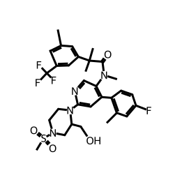 Cc1cc(C(F)(F)F)cc(C(C)(C)C(=O)N(C)c2cnc(N3CCN(S(C)(=O)=O)CC3CO)cc2-c2ccc(F)cc2C)c1